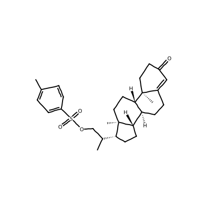 Cc1ccc(S(=O)(=O)OCC(C)[C@H]2CC[C@H]3[C@@H]4CCC5=CC(=O)CC[C@]5(C)[C@H]4CC[C@]23C)cc1